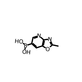 Cc1nc2ncc(B(O)O)cc2o1